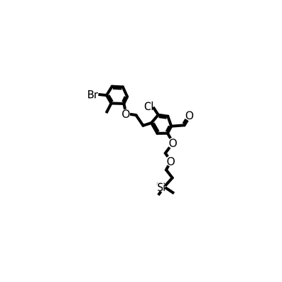 Cc1c(Br)cccc1OCCc1cc(OCOCC[Si](C)(C)C)c(C=O)cc1Cl